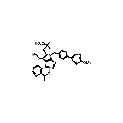 COc1ccc(-c2ccc(Cn3c(CC(C)(C)C(=O)O)c(SC(C)(C)C)c4cc(OC(C)c5ccccn5)cnc43)cc2)cn1